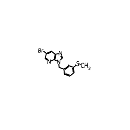 CSc1cccc(Cn2cnc3cc(Br)cnc32)c1